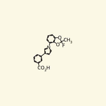 CC1(F)Oc2cccc(-n3ccc(-c4cccc(C(=O)O)c4)c3)c2O1